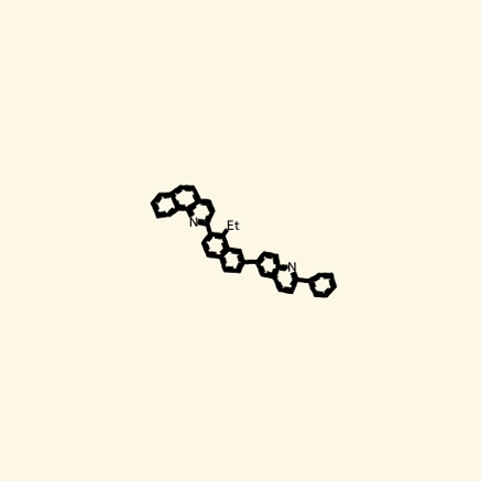 CCc1c(-c2ccc3ccc4ccccc4c3n2)ccc2ccc(-c3ccc4nc(-c5ccccc5)ccc4c3)cc12